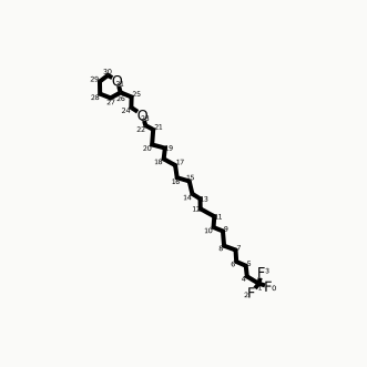 FC(F)(F)CCCCCCCCCCCCCCCCCCCOCCC1CCCCO1